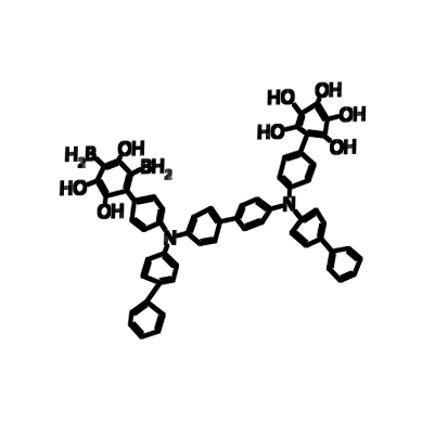 Bc1c(O)c(B)c(-c2ccc(N(c3ccc(-c4ccccc4)cc3)c3ccc(-c4ccc(N(c5ccc(-c6ccccc6)cc5)c5ccc(-c6c(O)c(O)c(O)c(O)c6O)cc5)cc4)cc3)cc2)c(O)c1O